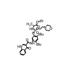 CC(C)OC(=O)[C@H](C)NP(=O)(OCCN1CCOCC1)Oc1cc(NC(=O)c2c[nH]c3ccccc3c2=O)c(C(C)(C)C)cc1C(C)(C)C